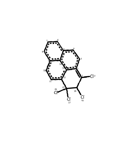 ClC1=c2ccc3cccc4ccc(c2c43)C(Cl)(Cl)C1Cl